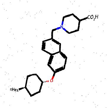 CCCCCC[C@H]1CC[C@H](Oc2ccc3cc(CN4CCC(C(=O)O)CC4)ccc3c2)CC1